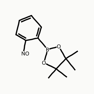 CC1(C)OB(c2ccccc2N=O)OC1(C)C